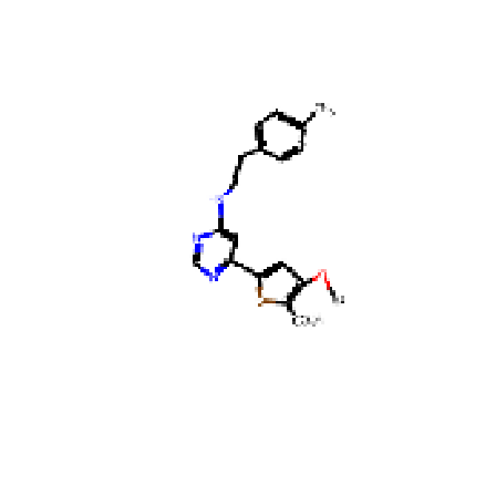 CCOc1cc(-c2cc(NCCc3ccc(C(F)(F)F)cc3)ncn2)sc1C(=O)O